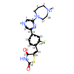 CN1CCCN(c2cncc(-c3ccc(/C=C4/SC(=O)NC4=O)c(F)c3)n2)CC1